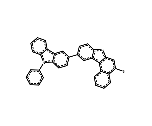 Brc1cc2sc3ccc(-c4ccc5c(c4)c4ccccc4n5-c4ccccc4)cc3c2c2ccccc12